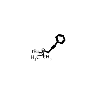 CC(C)(C)[Si](C)(C)OCC#Cc1ccccc1